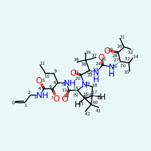 C=CCNC(=O)C(=O)C(CCC)NC(=O)[C@@H]1[C@@H]2[C@H](CN1C(=O)[C@@H](NC(=O)N[C@H](C(=O)C(C)C)C(C)C)C(C)(C)C)C2(C)C